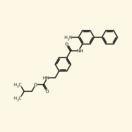 CC(C)COC(=O)NCc1ccc(C(=O)Nc2cc(-c3ccccc3)ccc2N)cc1